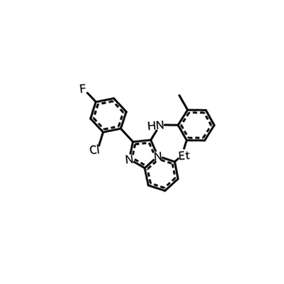 CCc1cccc2nc(-c3ccc(F)cc3Cl)c(Nc3c(C)cccc3C)n12